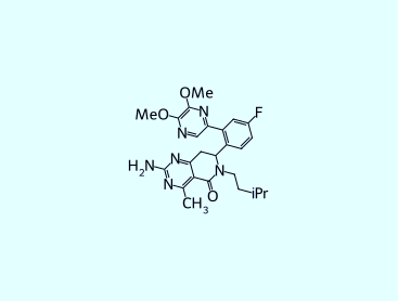 COc1ncc(-c2cc(F)ccc2C2Cc3nc(N)nc(C)c3C(=O)N2CCC(C)C)nc1OC